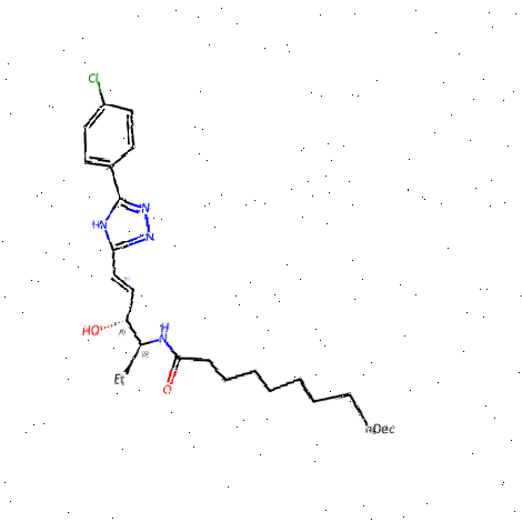 CCCCCCCCCCCCCCCCCC(=O)N[C@@H](CC)[C@H](O)/C=C/c1nnc(-c2ccc(Cl)cc2)[nH]1